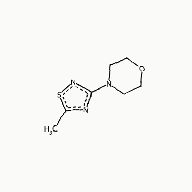 Cc1nc(N2CCOCC2)ns1